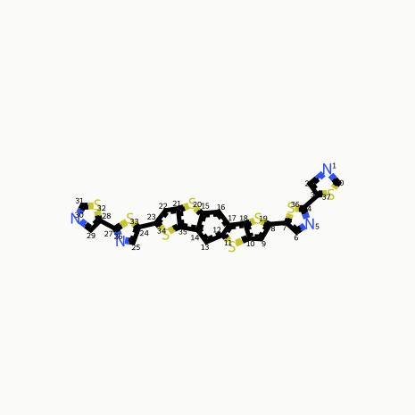 c1ncc(-c2ncc(-c3cc4sc5cc6c(cc5c4s3)sc3cc(-c4cnc(-c5cncs5)s4)sc36)s2)s1